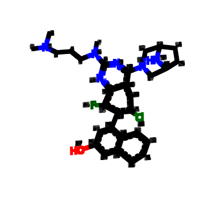 CN(C)CCCN(C)c1nc(N2CC3CCC(C2)N3)c2cc(Cl)c(-c3cc(O)cc4ccccc34)c(F)c2n1